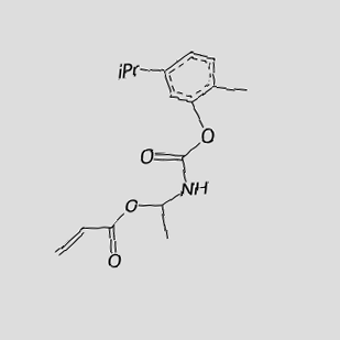 C=CC(=O)OC(C)NC(=O)Oc1cc(C(C)C)ccc1C